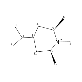 CC(C)C1C[C@@H](C)N(C)[C@@H](C)C1